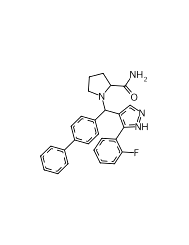 NC(=O)C1CCCN1C(c1ccc(-c2ccccc2)cc1)c1cn[nH]c1-c1ccccc1F